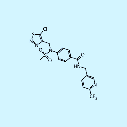 CS(=O)(=O)N(Cc1nnsc1Cl)c1ccc(C(=O)NCc2ccc(C(F)(F)F)nc2)cc1